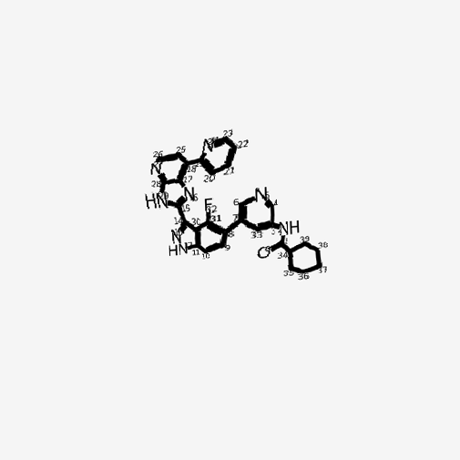 O=C(Nc1cncc(-c2ccc3[nH]nc(-c4nc5c(-c6ccccn6)ccnc5[nH]4)c3c2F)c1)C1CCCCC1